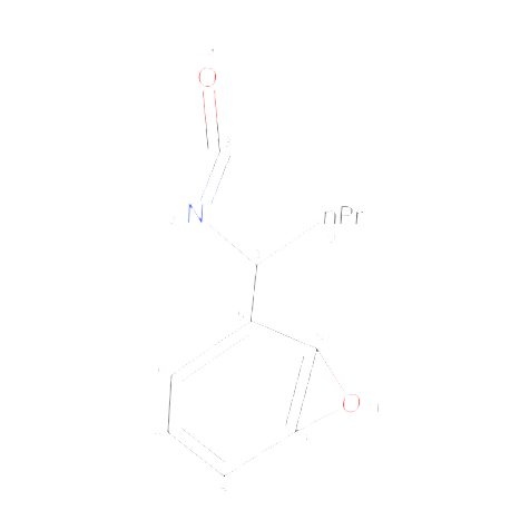 CCCC(N=C=O)c1cccc2c1O2